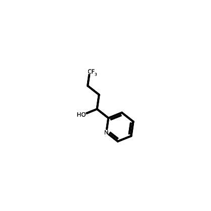 OC(CCC(F)(F)F)c1ccccn1